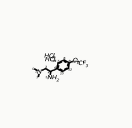 CN(C)CC(N)c1ccc(OC(F)(F)F)cc1.Cl.Cl